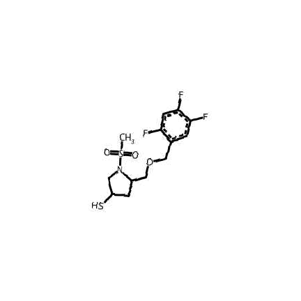 CS(=O)(=O)N1CC(S)CC1COCc1cc(F)c(F)cc1F